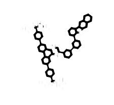 CC(C)(C)c1ccc(-c2ccc3c4ccc(-c5ccc(C(C)(C)C)cc5)cc4c4nc(-c5cccc(-c6cccc(-c7cccc8c7oc7cc9ccccc9cc78)c6)c5)cnc4c3c2)cc1